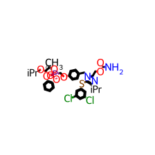 CC(C)OC(=O)[C@H](C)OP(=O)(COc1ccc(Cn2c(COC(N)=O)nc(C(C)C)c2Sc2cc(Cl)cc(Cl)c2)cc1)Oc1ccccc1